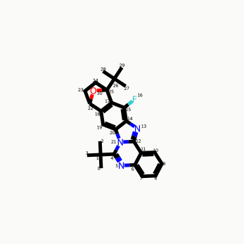 CC(C)(C)c1nc2ccccc2c2nc3c(F)c4c(cc3n12)C1CCC4(C(C)(C)C)O1